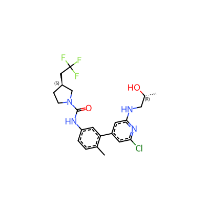 Cc1ccc(NC(=O)N2CC[C@@H](CC(F)(F)F)C2)cc1-c1cc(Cl)nc(NC[C@@H](C)O)c1